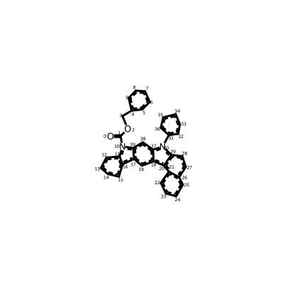 O=C(OCc1ccccc1)n1c2ccccc2c2cc3c4c5ccccc5ccc4n(-c4ccccc4)c3cc21